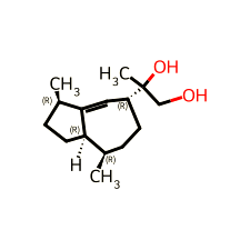 C[C@@H]1CC[C@H]2C1=C[C@H](C(C)(O)CO)CC[C@H]2C